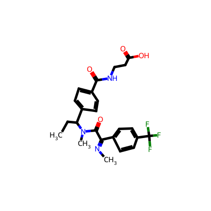 CCC(c1ccc(C(=O)NCCC(=O)O)cc1)N(C)C(=O)C(=NC)c1ccc(C(F)(F)F)cc1